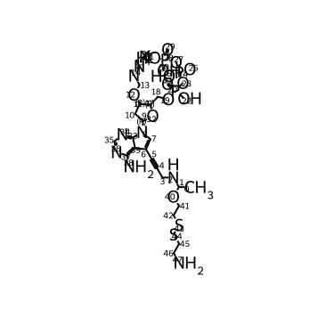 CC(NCC#Cc1cn([C@H]2C[C@@H](OCN=[N+]=[N-])[C@@H](COP(=O)(O)OP(=O)(O)OP(=O)(O)O)O2)c2ncnc(N)c12)OCCSSCCN